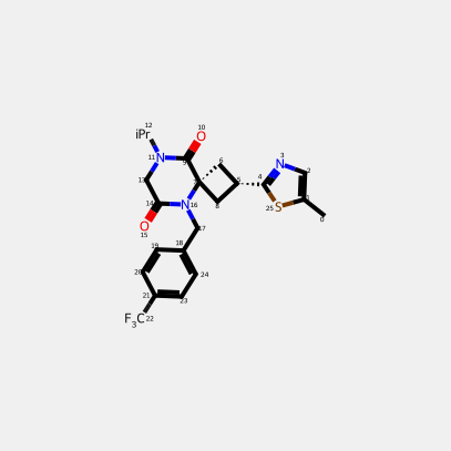 Cc1cnc([C@H]2C[C@@]3(C2)C(=O)N(C(C)C)CC(=O)N3Cc2ccc(C(F)(F)F)cc2)s1